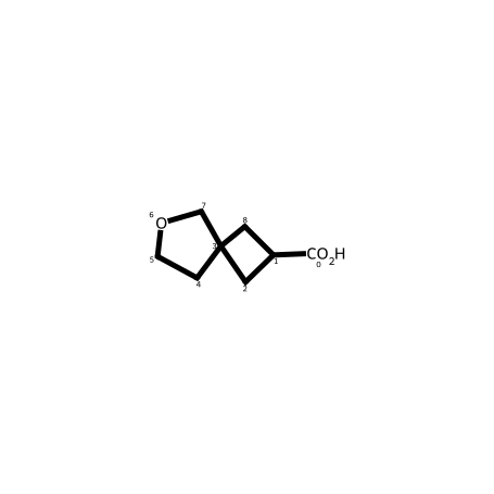 O=C(O)C1CC2(CCOC2)C1